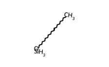 CCCCCCCCC=CCCCCCCCCCCO[SiH3]